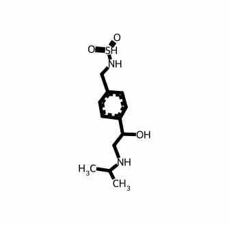 CC(C)NCC(O)c1ccc(CN[SH](=O)=O)cc1